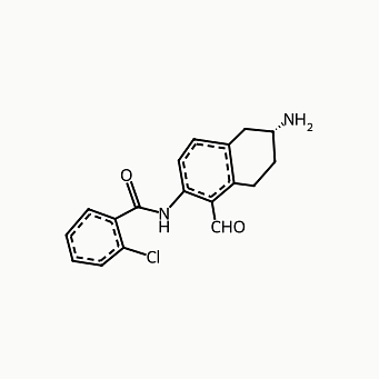 N[C@@H]1CCc2c(ccc(NC(=O)c3ccccc3Cl)c2C=O)C1